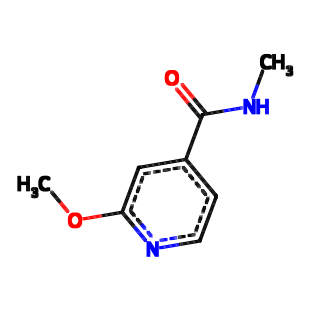 CNC(=O)c1ccnc(OC)c1